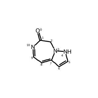 O=C1CN2NC=CC2=CC=N1